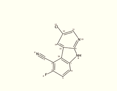 N#Cc1c(F)c[c]c2[nH]c3ncc(Cl)cc3c12